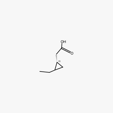 CCC1C[C@H]1CC(=O)O